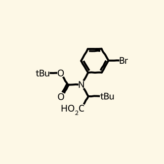 CC(C)(C)OC(=O)N(c1cccc(Br)c1)C(C(=O)O)C(C)(C)C